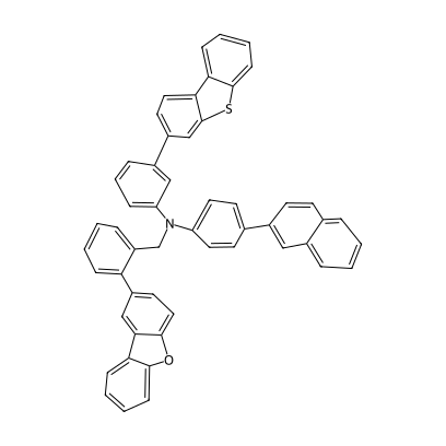 c1cc(-c2ccc3c(c2)sc2ccccc23)cc(N(Cc2ccccc2-c2ccc3oc4ccccc4c3c2)c2ccc(-c3ccc4ccccc4c3)cc2)c1